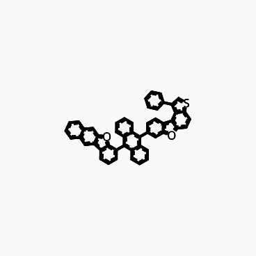 c1ccc(-c2csc3ccc4oc5cc(-c6c7ccccc7c(-c7cccc8c7oc7cc9ccccc9cc78)c7ccccc67)ccc5c4c23)cc1